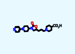 O=C(O)C1CCN(CCCC2CN(C3CCN(c4ccncc4)CC3)C(=O)O2)CC1